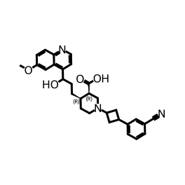 COc1ccc2nccc(C(O)CC[C@@H]3CCN(C4CC(c5cccc(C#N)c5)C4)C[C@@H]3C(=O)O)c2c1